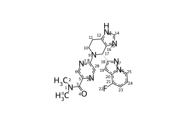 CN(C)C(=O)c1cnc(N2CCc3[nH]cnc3[C@@H]2c2cc3c(F)cccn3n2)cn1